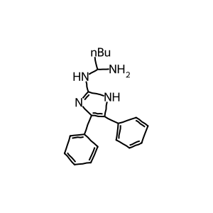 CCCCC(N)Nc1nc(-c2ccccc2)c(-c2ccccc2)[nH]1